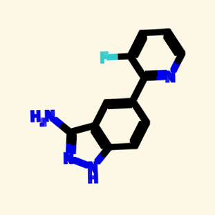 Nc1n[nH]c2ccc(-c3ncccc3F)cc12